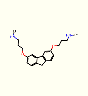 CCNCCCOc1ccc2c(c1)-c1cc(OCCCNCC)ccc1C2